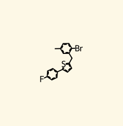 Cc1ccc(Br)c(Cc2ccc(-c3ccc(F)cc3)s2)c1